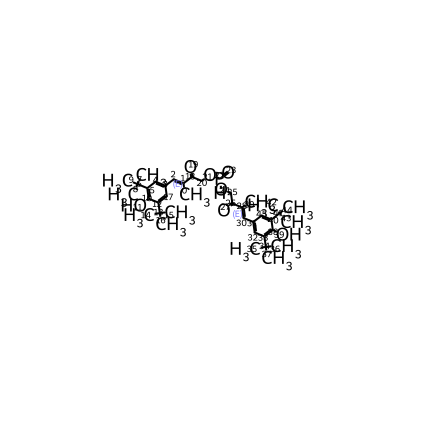 C/C(=C\c1cc(C(C)(C)C)c(O)c(C(C)(C)C)c1)C(=O)CO[PH](=O)OCC(=O)/C(C)=C/c1cc(C(C)(C)C)c(O)c(C(C)(C)C)c1